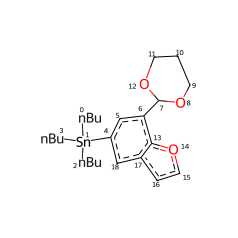 CCC[CH2][Sn]([CH2]CCC)([CH2]CCC)[c]1cc(C2OCCCO2)c2occc2c1